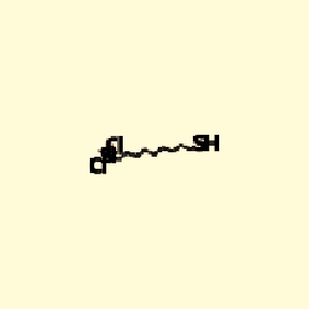 C[Si](Cl)(Cl)CCCCCCCCCS